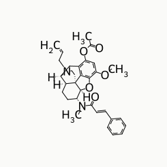 C=CCN1CC[C@]23c4c5c(OC(C)=O)cc(OC)c4O[C@H]2[C@H](N(C)C(=O)C=Cc2ccccc2)CC[C@H]3[C@H]1C5